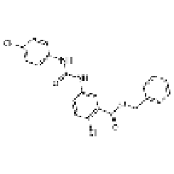 O=C(Nc1ccc(Cl)cc1)Nc1ccc(Cl)c(C(=O)OCc2ccccc2)c1